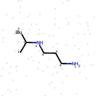 CCC(C)C(C)NCCCN